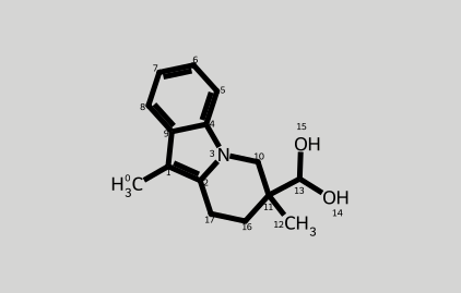 Cc1c2n(c3ccccc13)CC(C)(C(O)O)CC2